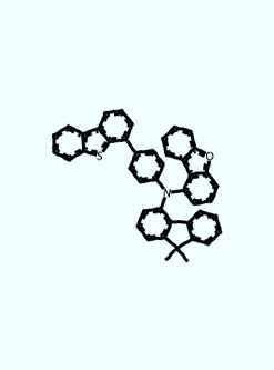 CC1(C)c2ccccc2-c2c(N(c3ccc(-c4cccc5c4sc4ccccc45)cc3)c3cccc4oc5ccccc5c34)cccc21